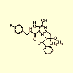 COC(C)(Cc1nc(O)c(O)c(C(=O)NCc2ccc(F)cc2)n1)NC(=O)c1ccccn1